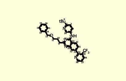 CC(C)(C)c1ccc(Nc2nc(CCCOCc3ccccc3)nc3cc(-c4ncccc4C(F)(F)F)ccc23)cn1